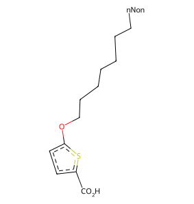 CCCCCCCCCCCCCCCCOc1ccc(C(=O)O)s1